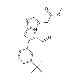 COC(=O)Cc1csc2cc(-c3cccc(C(C)(C)C)c3)c(C=O)n12